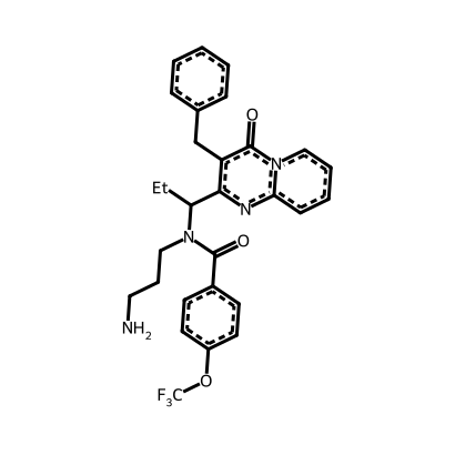 CCC(c1nc2ccccn2c(=O)c1Cc1ccccc1)N(CCCN)C(=O)c1ccc(OC(F)(F)F)cc1